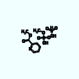 COC(=O)c1ccccn1.COS(=O)(=O)O.O=[SH](=O)O